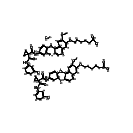 COc1cc2c(Oc3ccc(NC(=O)C4(C(=O)Nc5cccc(Cl)c5)CC4)cc3F)ccnc2cc1OCCCCCC(=O)[O-].COc1cc2c(Oc3ccc(NC(=O)C4(C(=O)Nc5cccc(Cl)c5)CC4)cc3F)ccnc2cc1OCCCCCC(=O)[O-].[Ca+2]